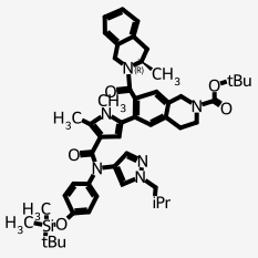 Cc1c(C(=O)N(c2ccc(O[Si](C)(C)C(C)(C)C)cc2)c2cnn(CC(C)C)c2)cc(-c2cc3c(cc2C(=O)N2Cc4ccccc4C[C@H]2C)CN(C(=O)OC(C)(C)C)CC3)n1C